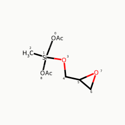 CC(=O)O[Si](C)(OCC1CO1)OC(C)=O